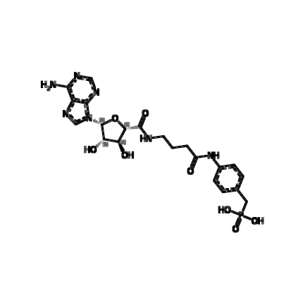 Nc1ncnc2c1ncn2[C@@H]1O[C@H](C(=O)NCCCC(=O)Nc2ccc(CP(=O)(O)O)cc2)[C@@H](O)[C@@H]1O